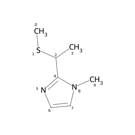 CSC(C)c1nccn1C